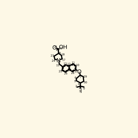 CC(C)(I)C1CCC(Oc2ccc3cc(CN4CCC(C(=O)O)CC4)ccc3c2)CC1